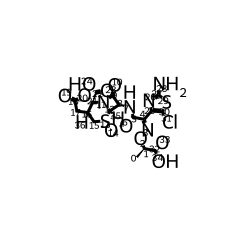 C[C@@H](O/N=C(\C(=O)N[C@@H]1C(=O)N2[C@@H]1[S@+]([O-])C[C@@H]1CC(=O)O[C@@]12C(=O)O)c1nc(N)sc1Cl)C(=O)O